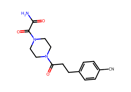 N#Cc1ccc(C[CH]C(=O)N2CCN(C(=O)C(N)=O)CC2)cc1